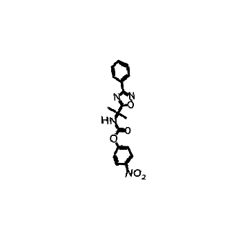 CC(C)(NC(=O)Oc1ccc([N+](=O)[O-])cc1)c1nc(-c2ccccc2)no1